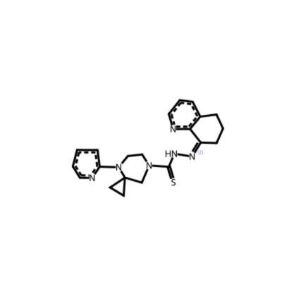 S=C(N/N=C1/CCCc2cccnc21)N1CCN(c2ccccn2)C2(CC2)C1